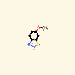 COc1ccc2c(c1)S[N]N2